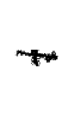 COC(=O)CCc1c(CCCCCCI)cccc1OCCCc1cccc(C(=O)OC)c1